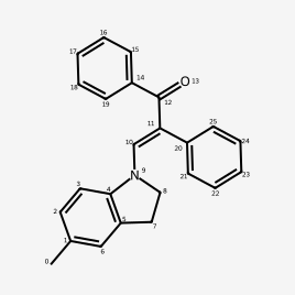 Cc1ccc2c(c1)CCN2/C=C(/C(=O)c1ccccc1)c1ccccc1